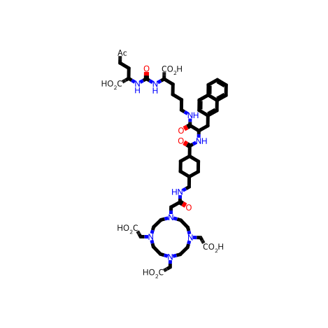 CC(=O)CCC(NC(=O)NC(CCCCNC(=O)C(Cc1ccc2ccccc2c1)NC(=O)C1CCC(CNC(=O)CN2CCN(CC(=O)O)CCN(CC(=O)O)CCN(CC(=O)O)CC2)CC1)C(=O)O)C(=O)O